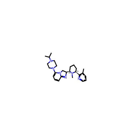 Cc1cccnc1[C@@H]1CCC[C@H](C2CN3C(N4CCN(C(C)C)CC4)=CC=CC3=N2)N1C